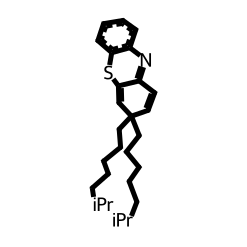 CC(C)CCCCCC1(CCCCCC(C)C)C=CC2=Nc3ccccc3SC2=C1